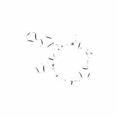 O=C(O)C[C@H]1NC(=O)[C@H](Cc2ccc(-c3ccccc3)cc2)NC(=O)[C@@H](Cc2cccs2)NC(=O)CCC(=O)Nc2ccc(cc2)C[C@@H](C(=O)O)NC1=O